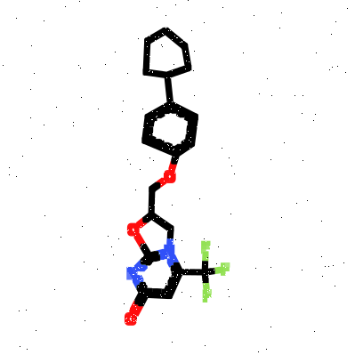 O=c1cc(C(F)(F)F)n2c(n1)OC(COc1ccc(C3CCCCC3)cc1)C2